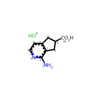 Cl.Nc1nccc2c1CC(C(=O)O)C2